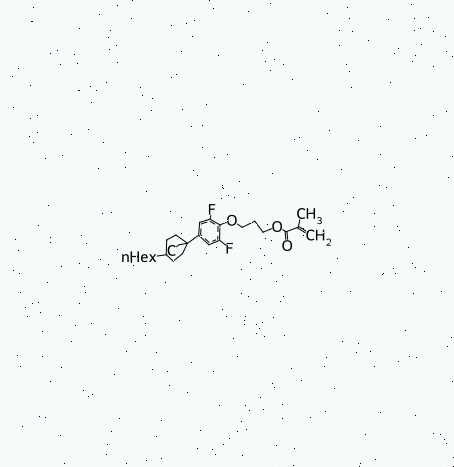 C=C(C)C(=O)OCCCOc1c(F)cc(C23CCC(CCCCCC)(CC2)CC3)cc1F